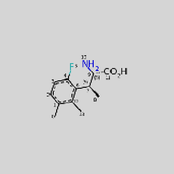 Cc1ccc(F)c([C@H](C)[C@H](N)C(=O)O)c1C